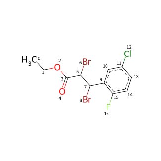 CCOC(=O)C(Br)C(Br)c1cc(Cl)ccc1F